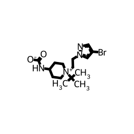 CC(C)(C)[N+]1(CCn2cc(Br)cn2)CCC(NC(=O)[O-])CC1